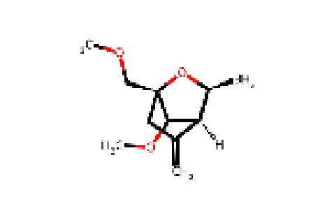 B[C@@H]1O[C@@]2(COC)CC(=C)[C@H]1C2OC